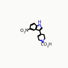 O=C(O)N1CC=C(c2c[nH]c3ccc([N+](=O)[O-])cc23)CC1